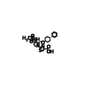 CS(=O)(=O)N[C@H]1CCN(c2nc(C(=O)O)cs2)[C@H]1CO[C@H]1CC[C@@H](c2ccccc2)CC1